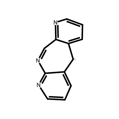 [C]1c2cccnc2C=Nc2ncccc21